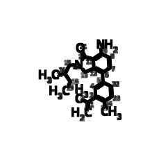 C=C(C)c1cc(-c2ccc(N)c3c2CN(CC(C)CC)C3=O)ccc1C